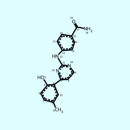 Cc1ccc(O)c(-c2ccnc(Nc3ccc(C(N)=O)cc3)n2)c1